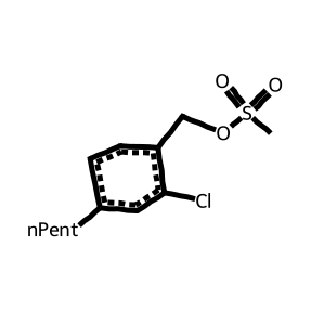 CCCCCc1ccc(COS(C)(=O)=O)c(Cl)c1